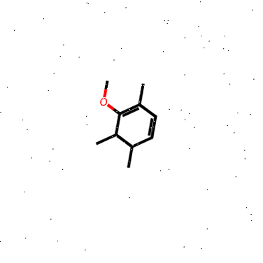 COC1=C(C)C=CC(C)C1C